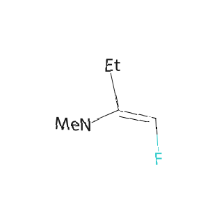 CC/C(=C/F)NC